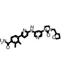 Cc1c(C(N)=O)ccc(-c2ccc(Nc3cncc(N4CCN(CC5CCCO5)C4=O)c3)nc2)c1C